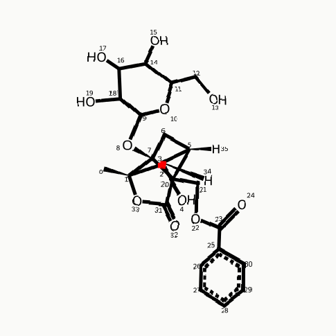 C[C@]12C[C@@H](O)[C@@H]3C[C@]1(OC1OC(CO)C(O)C(O)C1O)C3(COC(=O)c1ccccc1)C(=O)O2